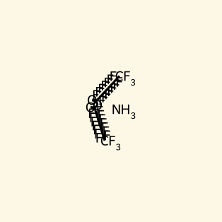 N.O=C(OC(=O)C(F)(F)C(F)(F)C(F)(F)C(F)(F)C(F)(F)C(F)(F)C(F)(F)C(F)(F)F)C(F)(F)C(F)(F)C(F)(F)C(F)(F)C(F)(F)C(F)(F)C(F)(F)C(F)(F)F